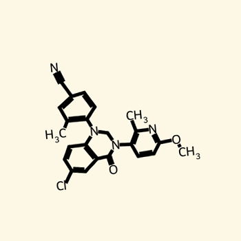 COc1ccc(N2CN(c3ccc(C#N)cc3C)c3ccc(Cl)cc3C2=O)c(C)n1